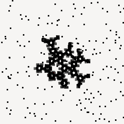 [C-]#[N+]c1cc(C#N)cc(-c2ccc3c(c2)c2cc(-c4cc(C#N)cc(C#N)c4)ccc2n3-c2cc(-c3cccc(-c4cc(-c5nc(-c6ccccc6)nc(-c6ccccc6)n5)ccc4-n4c5ccc(-c6cc(C#N)cc([N+]#[C-])c6)cc5c5cc(-c6cc(C#N)cc([N+]#[C-])c6)ccc54)c3)cc(-c3nc(-c4ccccc4)nc(-c4ccccc4)n3)c2)c1